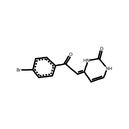 O=C1NC=C/C(=C/C(=O)c2ccc(Br)cc2)N1